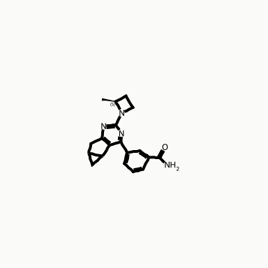 C[C@H]1CCN1c1nc2c(c(-c3cccc(C(N)=O)c3)n1)C1CC1C2